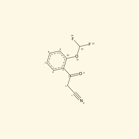 N#CCC(=O)c1ccccc1OC(F)F